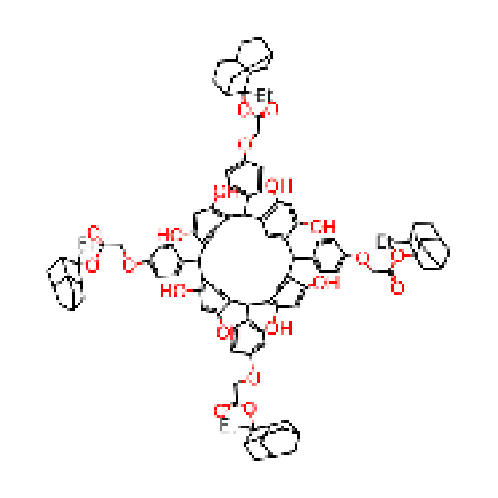 CCC1C2CC3CC(C2)CC1(OC(=O)COc1ccc(C2c4cc(c(O)cc4O)C(c4ccc(OCC(=O)OC5(CC)C6CC7CC(C6)CC5C7)cc4)c4cc(c(O)cc4O)C(c4ccc(OCC(=O)OC5(CC)C6CC7CC(C6)CC5C7)cc4)c4cc(c(O)cc4O)C(c4ccc(OCC(=O)OC5(CC)C6CCC7CCC(C6)CC75)cc4)c4cc2c(O)cc4O)cc1)C3